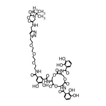 CC(C)(C)N(CC(=O)NCc1cn(CCOCCOCCOCCNC(=O)c2cc(O)c(O)c(C(=O)N[C@H]3COC(=O)[C@@H](NC(=O)c4cccc(O)c4O)COC(=O)[C@@H](NC(=O)c4cccc(O)c4O)COC3=O)c2)nn1)C(=O)O